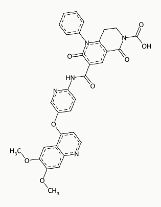 COc1cc2nccc(Oc3ccc(NC(=O)c4cc5c(n(-c6ccccc6)c4=O)CCN(C(=O)O)C5=O)nc3)c2cc1OC